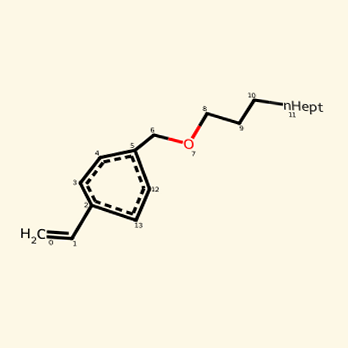 C=Cc1ccc(COCCCCCCCCCC)cc1